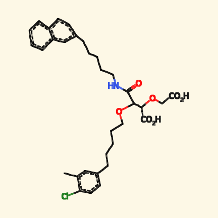 Cc1cc(CCCCCOC(C(=O)NCCCCCc2ccc3ccccc3c2)C(OCC(=O)O)C(=O)O)ccc1Cl